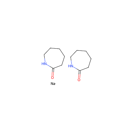 O=C1CCCCCN1.O=C1CCCCCN1.[Na]